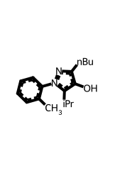 CCCCc1nn(-c2ccccc2C)c(C(C)C)c1O